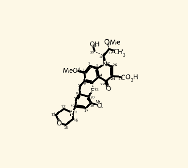 COc1cc2c(cc1Cc1cc(N3CCOCC3)cc(Cl)c1F)c(=O)c(C(=O)O)cn2[C@H](CO)[C@@H](C)OC